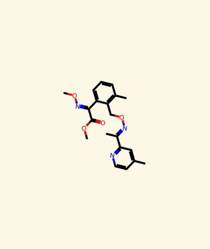 CO/N=C(/C(=O)OC)c1cccc(C)c1CO/N=C(\C)c1cc(C)ccn1